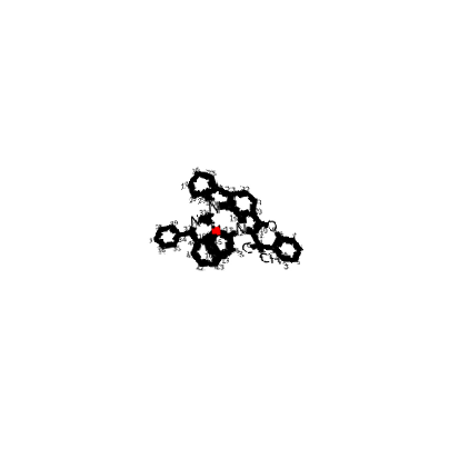 CC1(C)c2ccccc2Oc2c1n(-c1ccccc1)c1c2ccc2c3ccccc3n(-c3nc(-c4ccccc4)c4ccccc4n3)c21